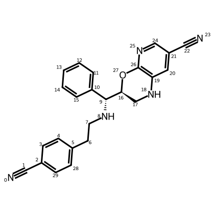 N#Cc1ccc(CCN[C@H](c2ccccc2)[C@@H]2CNc3cc(C#N)cnc3O2)cc1